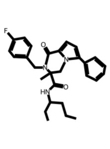 CCCC(CC)NC(=O)C1(C)Cn2c(ccc2-c2ccccc2)C(=O)N1Cc1ccc(F)cc1